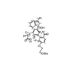 COCCOc1ccc(C(N)=O)c(-c2cc(C(O)(CNC(C)C)c3ccccc3)ccc2Cl)c1F.O=C(O)C(F)(F)F